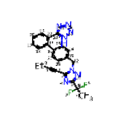 CCC#Cc1nc(C(C)(F)F)nn1Cc1ccc(-c2ccccc2-c2nnn[nH]2)cc1